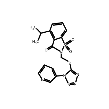 CC(C)c1cccc2c1C(=O)N(CSc1nnnn1-c1cccnc1)S2(=O)=O